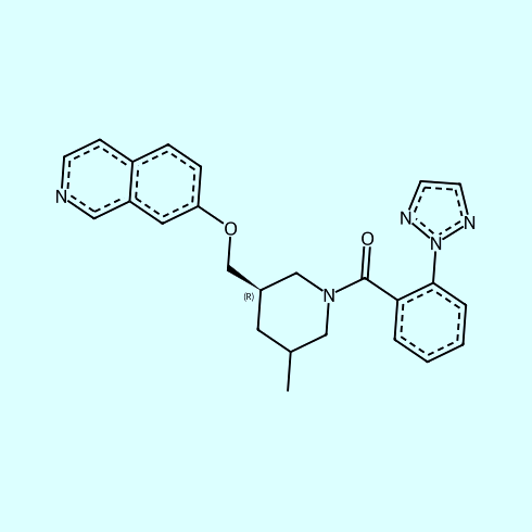 CC1C[C@@H](COc2ccc3ccncc3c2)CN(C(=O)c2ccccc2-n2nccn2)C1